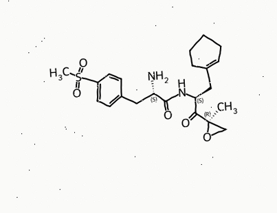 C[C@]1(C(=O)[C@H](CC2=CCCCC2)NC(=O)[C@@H](N)Cc2ccc(S(C)(=O)=O)cc2)CO1